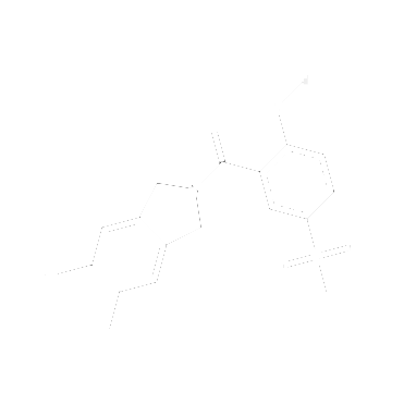 CC(C)Sc1ccc(S(C)(=O)=O)cc1C(=O)N1CC2=CC(C)C(Cl)C=C2C1